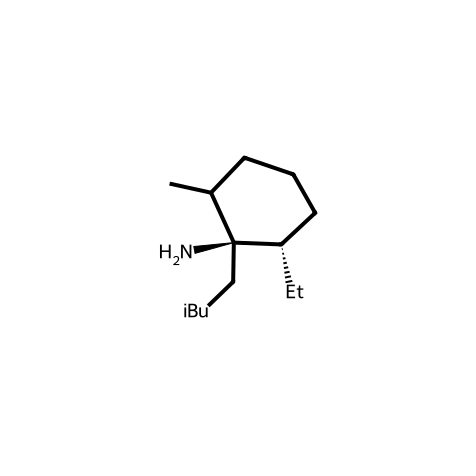 CCC(C)C[C@]1(N)C(C)CCC[C@@H]1CC